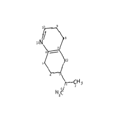 CC(C)C1CCC2=C(CCC=N2)C1